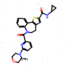 CC[C@H]1COCCN1c1cccc(C(=O)N2CCc3cc(C(=O)NC4CC4)sc3-c3ccccc32)n1